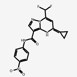 O=C(Nc1ccc([N+](=O)[O-])cc1)c1cnn2c1NC(=C1CC1)C=C2C(F)F